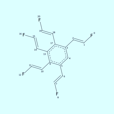 FC=Cc1cc(C=CF)c(C=CF)c(C=CF)c1C=CF